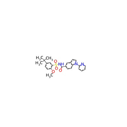 COc1ccc(C(C)(C)C)cc1S(=O)(=O)NC(=O)c1ccc2c(ccn2-c2ccccn2)c1